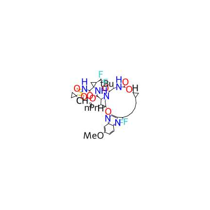 CCC[C@@H]1[C@@H]2CN(C(=O)[C@H](C(C)(C)C)NC(=O)O[C@@H]3CC3CCCCC(F)(F)c3nc4ccc(OC)cc4nc3O2)[C@@H]1C(=O)N[C@]1(C(=O)NS(=O)(=O)C2(C)CC2)C[C@H]1C(F)F